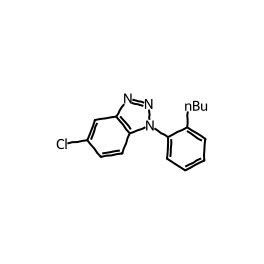 CCCCc1ccccc1-n1nnc2cc(Cl)ccc21